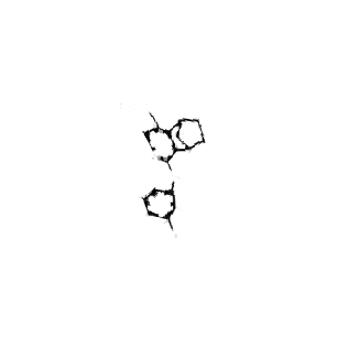 CCOC(=O)c1cnc(Nc2cccc(Br)c2)c2c1C1CCC2C1